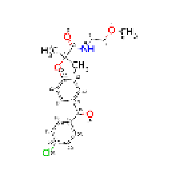 COCCNC(=O)C(C)(C)Oc1ccc(C(=O)c2ccc(Cl)cc2)cc1